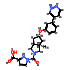 O=C(O)c1ccn(C(=O)N2CC3C[C@H](Oc4cccc(-c5ccnnc5)c4)C[C@H]3C2)n1